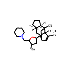 CCCCC1CC(C23C[C@@H]4[C@H](C)CC[C@H]4C4(C#N)CC2C=C(C(C)C)C34C(=O)O)OC1CN1CCCCC1